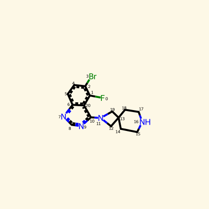 Fc1c(Br)ccc2ncnc(N3CC4(CCNCC4)C3)c12